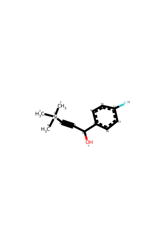 C[Si](C)(C)C#CC(O)c1ccc(F)cc1